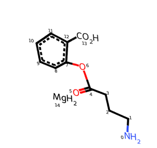 NCCCC(=O)Oc1ccccc1C(=O)O.[MgH2]